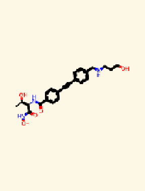 C[C@@H](O)[C@H](NC(=O)c1ccc(C#Cc2ccc(CNCCCO)cc2)cc1)C(=O)NO